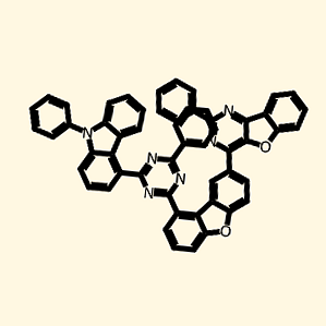 c1ccc(-c2nc(-c3cccc4oc5ccc(-c6nc(-c7ccccc7)nc7c6oc6ccccc67)cc5c34)nc(-c3cccc4c3c3ccccc3n4-c3ccccc3)n2)cc1